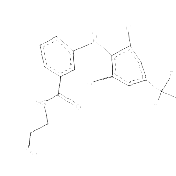 O=C(NCCO)c1cccc(Nc2c(Cl)cc(C(F)(F)F)cc2Cl)c1